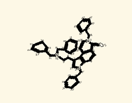 O=c1c2ccc3c(c(CCN(Cc4ccccc4)Cc4ccccc4)cn3Cc3ccccc3)c2ccn1Cc1ccccc1